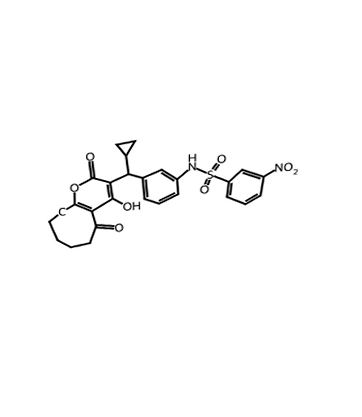 O=C1CCCCCc2oc(=O)c(C(c3cccc(NS(=O)(=O)c4cccc([N+](=O)[O-])c4)c3)C3CC3)c(O)c21